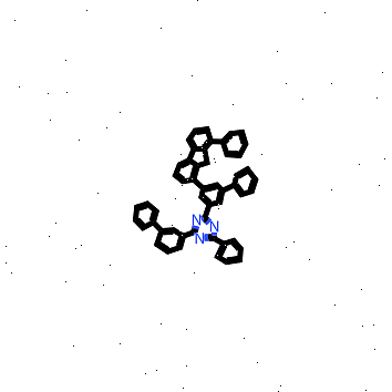 c1ccc(-c2cccc(-c3nc(-c4ccccc4)nc(-c4cc(-c5ccccc5)cc(-c5cccc6c5Cc5c(-c7ccccc7)cccc5-6)c4)n3)c2)cc1